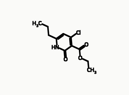 CCCc1cc(Cl)c(C(=O)OCC)c(=O)[nH]1